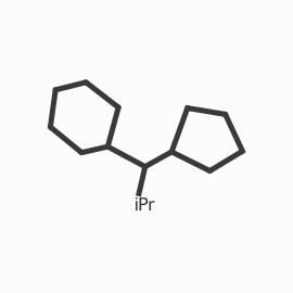 CC(C)C(C1CCCCC1)C1CCCC1